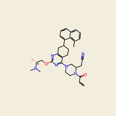 C=CC(=O)N1CCN(c2nc(OC[C@@H](C)N(C)C)nc3c2CCC(c2cccc4cccc(C)c24)C3)CC1CC#N